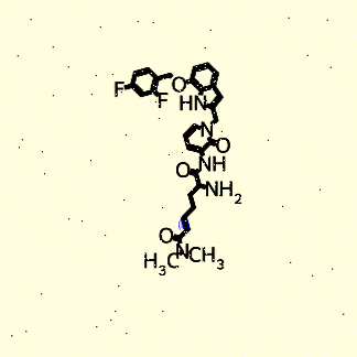 CN(C)C(=O)/C=C/CCC(N)C(=O)Nc1cccn(Cc2cc3cccc(OCc4ccc(F)cc4F)c3[nH]2)c1=O